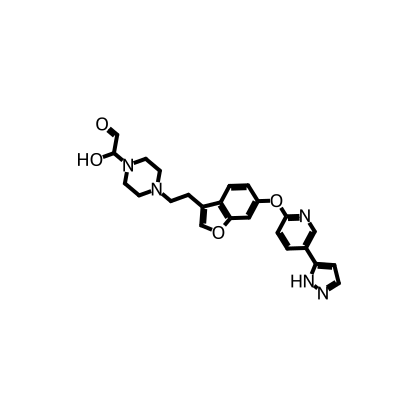 O=CC(O)N1CCN(CCc2coc3cc(Oc4ccc(-c5ccn[nH]5)cn4)ccc23)CC1